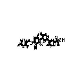 C#Cc1c(OCc2ncc(C)cc2F)cc(C)n(-c2cc(-c3ccnc(C(C)(C)O)n3)ncc2C)c1=O